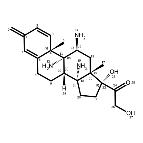 C=C1C=C[C@@]2(C)C(=C1)CC[C@@H]1[C@]2(N)[C@@H](N)C[C@@]2(C)[C@@]1(N)CC[C@]2(O)C(=O)CO